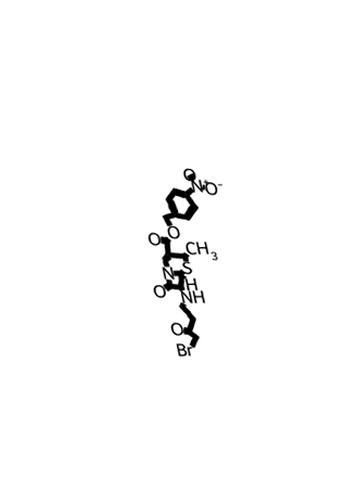 CC1S[C@@H]2C(NCCC(=O)CBr)C(=O)N2C=C1C(=O)OCc1ccc([N+](=O)[O-])cc1